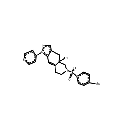 CC12Cc3cnn(-c4ccncc4)c3C=C1CCN(S(=O)(=O)c1ccc(C(C)(C)C)cc1)C2